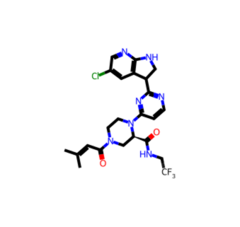 CC(C)=CC(=O)N1CCN(c2ccnc(C3CNc4ncc(Cl)cc43)n2)[C@@H](C(=O)NCC(F)(F)F)C1